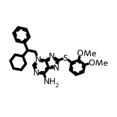 COc1cccc(Sc2nc3c(N)ncn(CC(c4ccccc4)C4CCCCC4)c-3n2)c1OC